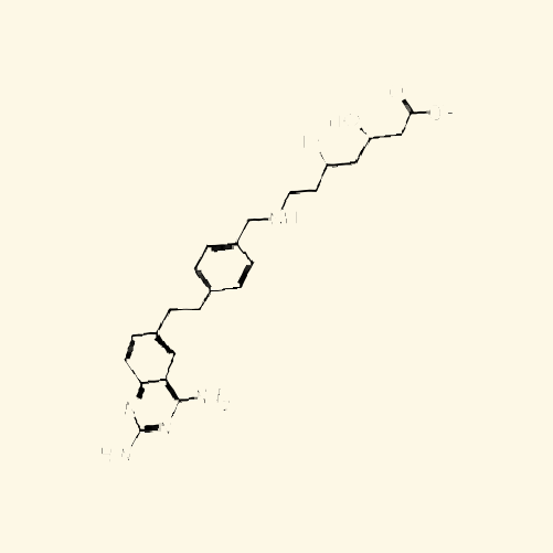 Nc1nc(N)c2cc(CCc3ccc(CNCC[C@@H](O)C[C@@H](O)CC(=O)O)cc3)ccc2n1